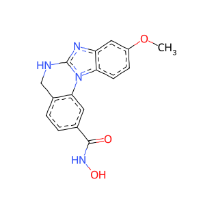 COc1ccc2c(c1)nc1n2-c2cc(C(=O)NO)ccc2CN1